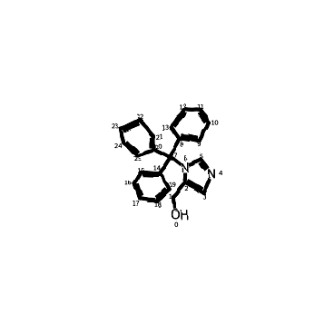 OCc1cncn1C(c1ccccc1)(c1ccccc1)c1ccccc1